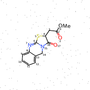 COC(=O)CC1SC2=Nc3ccccc3CN2C1=O